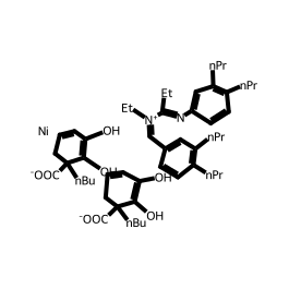 CCCCC1(C(=O)[O-])CC=CC(O)=C1O.CCCCC1(C(=O)[O-])CC=CC(O)=C1O.CCCc1ccc(C=[N+](CC)C(CC)=Nc2ccc(CCC)c(CCC)c2)cc1CCC.[Ni]